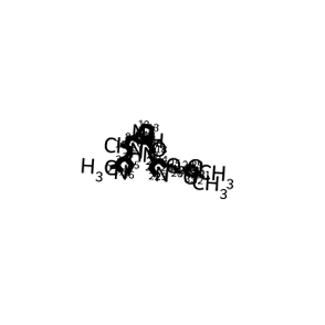 Cc1cc(-c2nc3c(cc2Cl)N2CC[C@@H](C2)N3C(=O)Nc2ccnc(OC[C@H]3COC(C)(C)O3)c2)ccn1